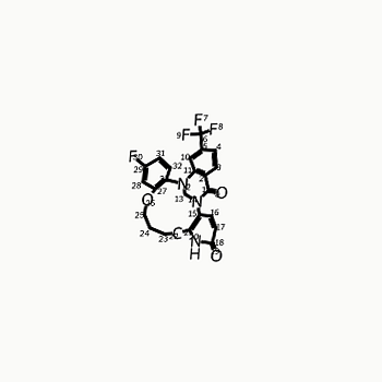 O=C1c2ccc(C(F)(F)F)cc2N2CN1c1ccc(=O)[nH]c1CCCCOc1cc(F)ccc12